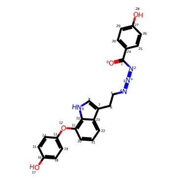 O=C(N=[N+]=NCCc1c[nH]c2c(Oc3ccc(O)cc3)cccc12)c1ccc(O)cc1